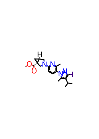 COC(=O)[C@]12C[C@H]1CN(c1ccc(-n3nc(I)c(C(C)C)c3C)c(C)n1)C2